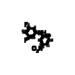 Cc1c(F)cc(Nc2cc([N+](=O)[O-])ccn2)cc1F